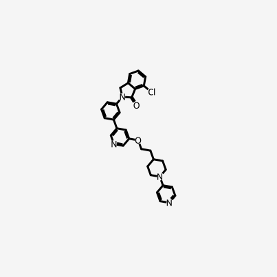 O=C1c2c(Cl)cccc2CN1c1cccc(-c2cncc(OCCC3CCN(c4ccncc4)CC3)c2)c1